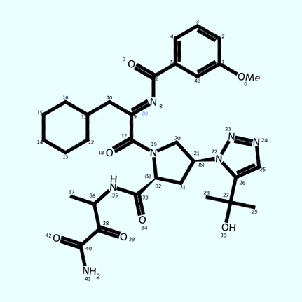 COc1cccc(C(=O)/N=C(\CC2CCCCC2)C(=O)N2C[C@@H](n3nncc3C(C)(C)O)C[C@H]2C(=O)NC(C)C(=O)C(N)=O)c1